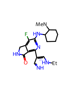 CCN/C=C(\C=N)c1nc(NC2CCCCC2NC)c(F)c2c1C(=O)NC2